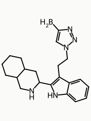 Bc1cn(CCc2c(C3CC4CCCCC4CN3)[nH]c3ccccc23)nn1